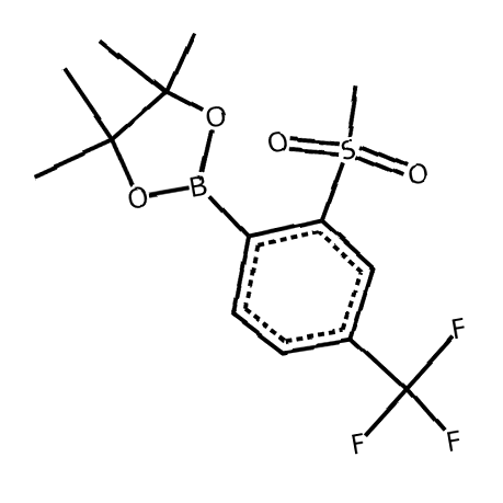 CC1(C)OB(c2ccc(C(F)(F)F)cc2S(C)(=O)=O)OC1(C)C